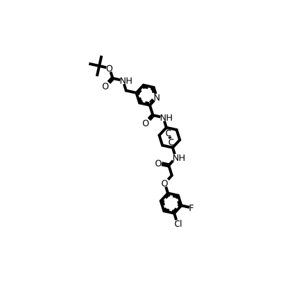 CC(C)(C)OC(=O)NCc1ccnc(C(=O)NC23CCC(NC(=O)COc4ccc(Cl)c(F)c4)(CC2)CC3)c1